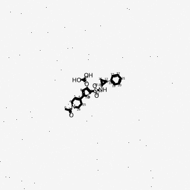 CC(=O)N1CC=C(c2ccc(S(=O)(=O)N[C@H]3C[C@@H]3c3ccccc3)s2)CC1.O=C(O)O